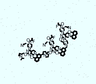 C=C(F)C(=O)N1CCN(c2nc(OCC3CN(Cc4cc(N5CCc6c(nc(OCC78CCCN7C(c7cc(N9CCc%10c(nc(OCC%11CCN%11C(C)C)nc%10N%10CCN(C(=O)C(=C)F)[C@@H](CC#N)C%10)C9)c9c(Cl)cccc9c7)CC8)nc6N6CCN(C(=O)C(=C)F)[C@@H](CC#N)C6)C5)c5c(Cl)cccc5c4)CCO3)nc3c2CCN(c2cccc4cccc(Cl)c24)C3)C[C@@H]1CC#N